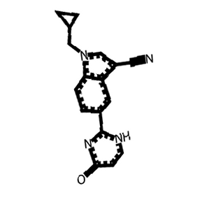 N#Cc1cn(CC2CC2)c2ccc(-c3nc(=O)cc[nH]3)cc12